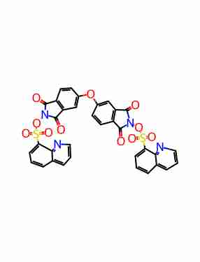 O=C1c2ccc(Oc3ccc4c(c3)C(=O)N(OS(=O)(=O)c3cccc5cccnc35)C4=O)cc2C(=O)N1OS(=O)(=O)c1cccc2cccnc12